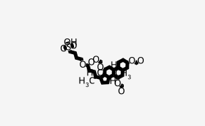 C[C@H](CCC(=O)OCCCCS(=O)(=O)O)C1CC[C@H]2C3C(OC=O)CC4CC(OC=O)CCC4(C)[C@H]3CC(OC=O)C12C